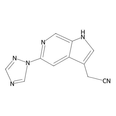 N#CCc1c[nH]c2cnc(-n3cncn3)cc12